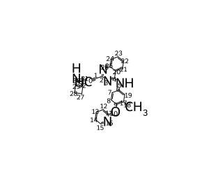 C#Cc1nc(Nc2ccc(Oc3ccccn3)c(C)c2)c2ccccc2n1.C1CC2NCC12